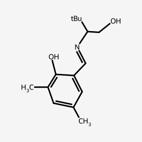 Cc1cc(C)c(O)c(/C=N/C(CO)C(C)(C)C)c1